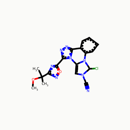 COC(C)(C)c1noc(-c2nnc3n2C2=CN(C#N)C(Cl)N2c2ccccc2-3)n1